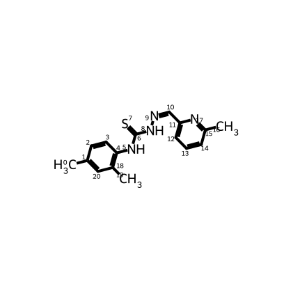 Cc1ccc(NC(=S)N/N=C\c2cccc(C)n2)c(C)c1